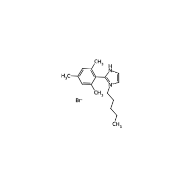 CCCCC[n+]1cc[nH]c1-c1c(C)cc(C)cc1C.[Br-]